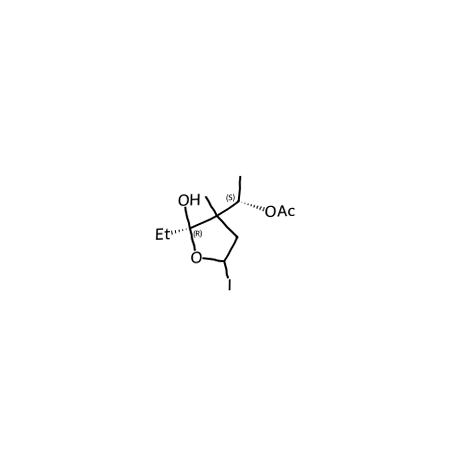 CC[C@@]1(O)OC(I)CC1(C)[C@H](C)OC(C)=O